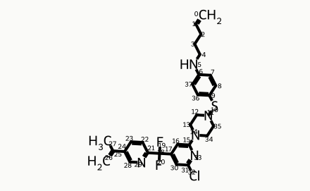 C=CCCCNc1ccc(SN2CCN(c3cc(C(F)(F)c4ccc(C(=C)C)cn4)cc(Cl)n3)CC2)cc1